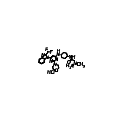 CN(C)CC(=O)N[C@H]1CC[C@H](Nc2cc(-n3c(C(F)F)nc4ccccc43)nc(N3CCOCC3)n2)CC1.Cl